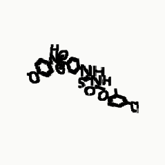 COc1ccc(NS(=O)(=O)c2ccc(NC(=S)NC(=O)COc3ccc(Cl)cc3C)cc2)cc1